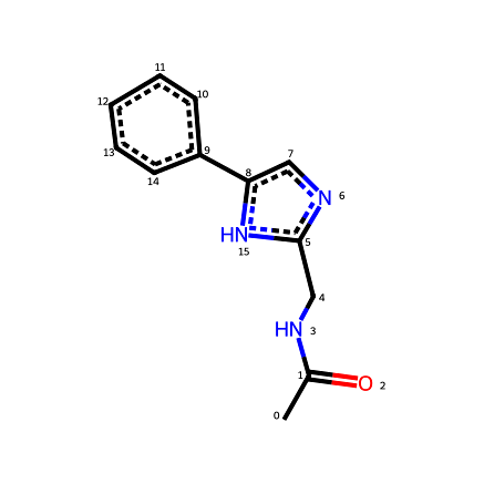 CC(=O)NCc1ncc(-c2ccccc2)[nH]1